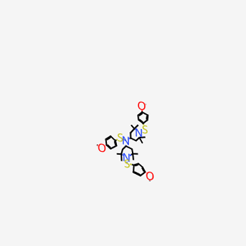 COc1ccc(SN(C2CC(C)(C)N(Sc3ccc(OC)cc3)C(C)(C)C2)C2CC(C)(C)N(Sc3ccc(OC)cc3)C(C)(C)C2)cc1